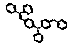 C(=C(c1ccccc1)c1ccccc1)c1ccc(N(c2ccccc2)c2ccc(Oc3ccccc3)cc2)cc1